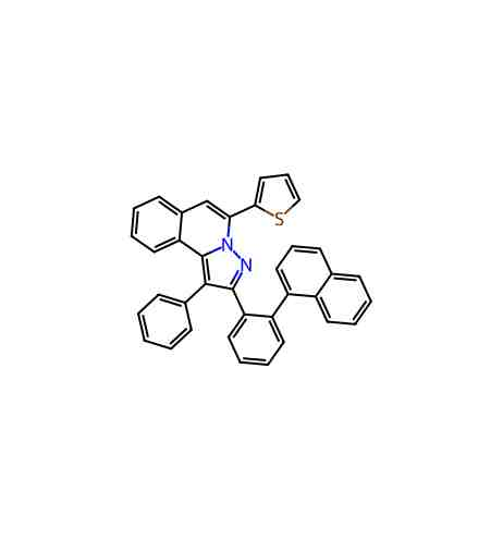 c1ccc(-c2c(-c3ccccc3-c3cccc4ccccc34)nn3c(-c4cccs4)cc4ccccc4c23)cc1